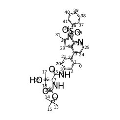 Cc1cc(NC(=O)[C@H](NC(=O)OC(C)(C)C)C(C)(C)O)ccc1-c1ccnc2c1cc(C)n2S(=O)(=O)c1ccccc1